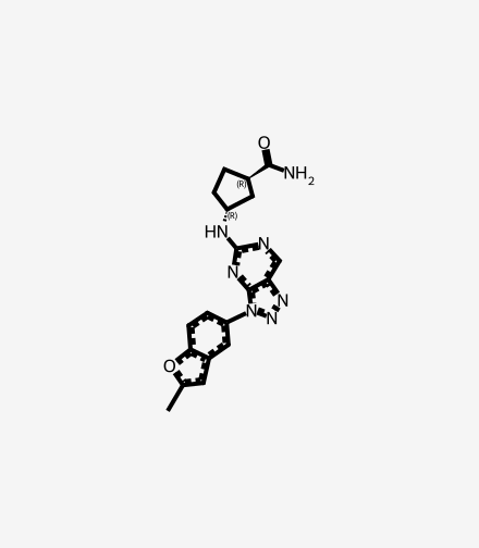 Cc1cc2cc(-n3nnc4cnc(N[C@@H]5CC[C@@H](C(N)=O)C5)nc43)ccc2o1